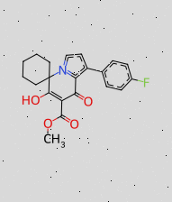 COC(=O)C1=C(O)C2(CCCCC2)n2ccc(-c3ccc(F)cc3)c2C1=O